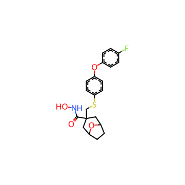 O=C(NO)C1(CSc2ccc(Oc3ccc(F)cc3)cc2)CC2CCC(C1)O2